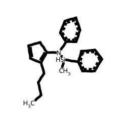 CCCCC1=C(N(c2ccccc2)[SiH](C)c2ccccc2)CC=C1